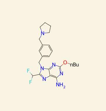 CCCCOc1nc(N)c2nc(C(F)F)n(Cc3cccc(CN4CCCC4)c3)c2n1